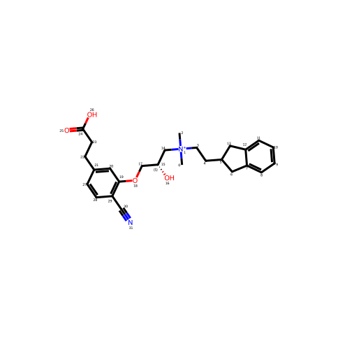 C[N+](C)(CCC1Cc2ccccc2C1)C[C@H](O)COc1cc(CCC(=O)O)ccc1C#N